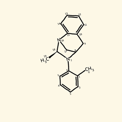 Cc1ccccc1N1C2Cc3ccccc3N(C2)[C@@H]1C